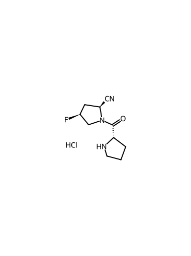 Cl.N#C[C@@H]1C[C@H](F)CN1C(=O)[C@@H]1CCCN1